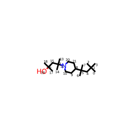 CC(C)(C)CC(C)(C)C1CCN(C(C)(C)CC(C)(C)O)CC1